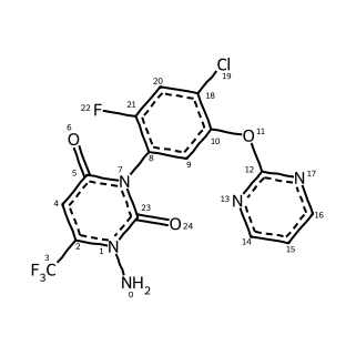 Nn1c(C(F)(F)F)cc(=O)n(-c2cc(Oc3ncccn3)c(Cl)cc2F)c1=O